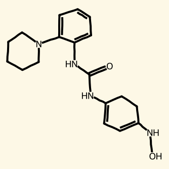 O=C(NC1=CC=C(NO)CC1)Nc1ccccc1N1CCCCC1